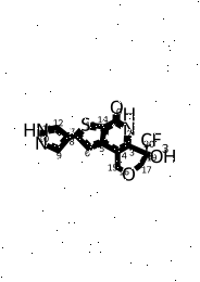 O=c1[nH]c2c(c3cc(-c4cn[nH]c4)sc13)COC[C@@]2(O)C(F)(F)F